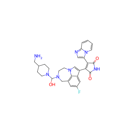 NCC1CCN(C(O)N2CCn3cc(C4=C(c5cnc6ccccn56)C(=O)NC4=O)c4cc(F)cc(c43)C2)CC1